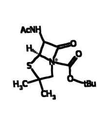 CC(=O)NC1C(=O)[N+]2(C(=O)OC(C)(C)C)CC(C)(C)S[C@@H]12